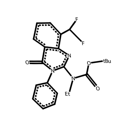 CCN(C(=O)OC(C)(C)C)c1nc2c(C(F)F)cccc2c(=O)n1-c1ccccc1